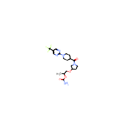 CC(COC1CCN(C(=O)C2CCN(c3ncc(C(F)(F)F)cn3)CC2)C1)OC(N)=O